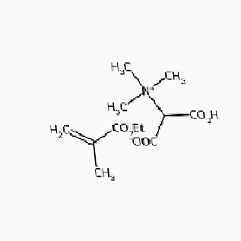 C=C(C)C(=O)OCC.C[N+](C)(C)C(C(=O)[O-])C(=O)O